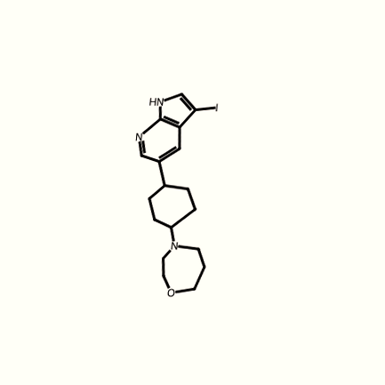 Ic1c[nH]c2ncc(C3CCC(N4CCCOCC4)CC3)cc12